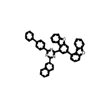 c1ccc(-c2ccc(-c3nc(-c4ccc5ccccc5c4)nc(-c4cc(-c5cccc6oc7ccccc7c56)cc5oc6ccccc6c45)n3)cc2)cc1